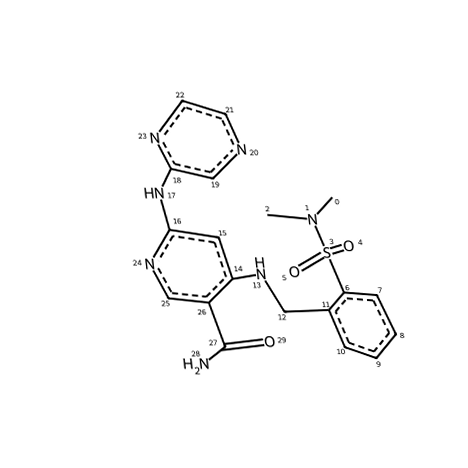 CN(C)S(=O)(=O)c1ccccc1CNc1cc(Nc2cnccn2)ncc1C(N)=O